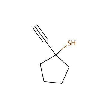 C#CC1(S)CCCC1